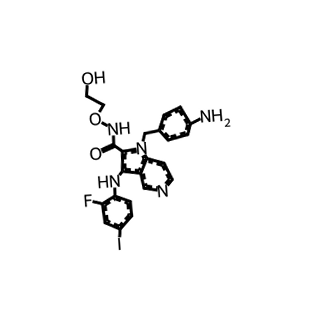 Nc1ccc(Cn2c(C(=O)NOCCO)c(Nc3ccc(I)cc3F)c3cnccc32)cc1